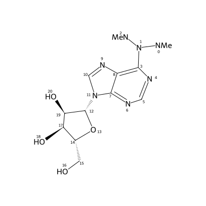 CNN(NC)c1ncnc2c1ncn2[C@@H]1O[C@H](CO)[C@@H](O)[C@H]1O